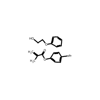 C=C(C)C(=O)Oc1ccc(CCC)cc1.OCCOc1ccccc1